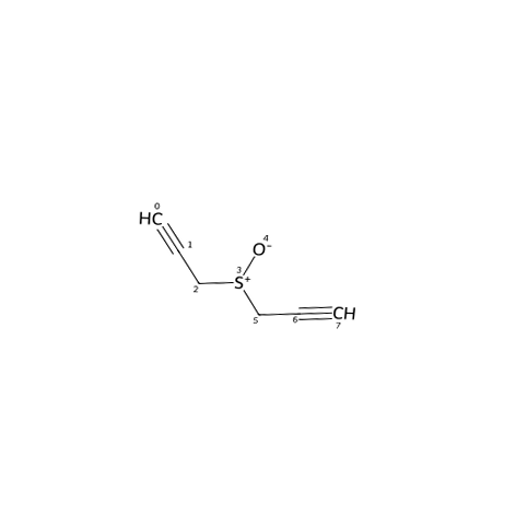 C#CC[S+]([O-])CC#C